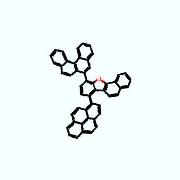 c1ccc2c(c1)ccc1c2oc2c(-c3cc4ccccc4c4c3ccc3ccccc34)ccc(-c3ccc4ccc5cccc6ccc3c4c56)c21